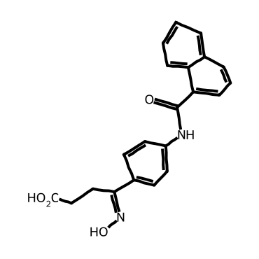 O=C(O)CCC(=NO)c1ccc(NC(=O)c2cccc3ccccc23)cc1